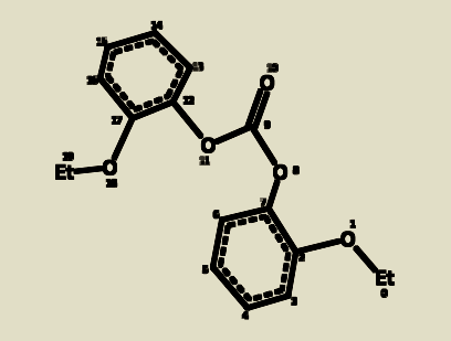 CCOc1ccccc1OC(=O)Oc1ccccc1OCC